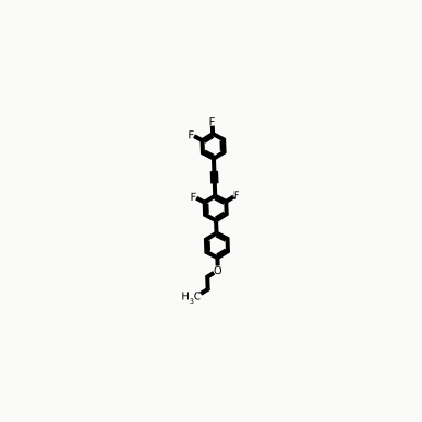 CCCOc1ccc(-c2cc(F)c(C#Cc3ccc(F)c(F)c3)c(F)c2)cc1